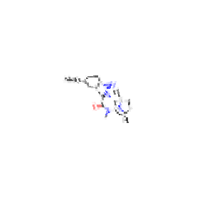 COc1ccc2[nH]nc(C(=O)N(C)[C@H]3C[C@H]4CC[C@@H](C3)N4C)c2c1